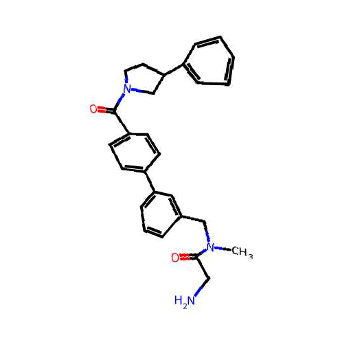 CN(Cc1cccc(-c2ccc(C(=O)N3CCC(c4ccccc4)C3)cc2)c1)C(=O)CN